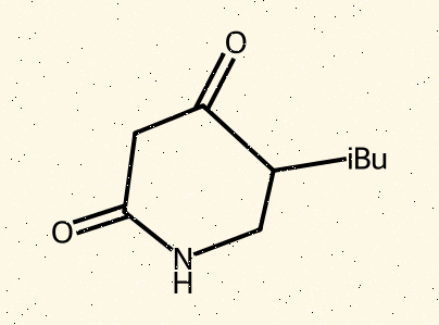 CCC(C)C1CNC(=O)CC1=O